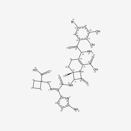 Nc1nc(/C(=N/OC2(C(=O)O)CCC2)C(=O)NC2C(=O)N3C(C(=O)O)=C(C(N)C(=O)c4cc(Br)cc(O)c4O)CS[C@@H]23)cs1